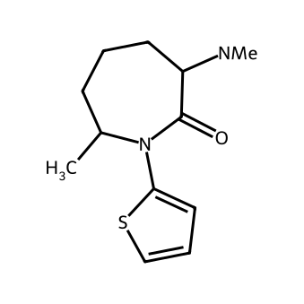 CNC1CCCC(C)N(c2cccs2)C1=O